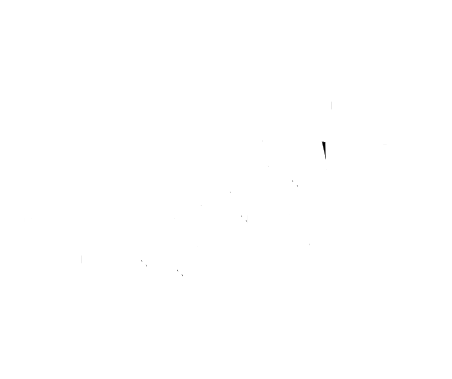 O=C1N([C@H](c2ccc(F)cc2F)C(F)(F)F)C(=O)C2(CC2)N1Cc1nnc(-c2ccc(F)c(O)c2F)s1